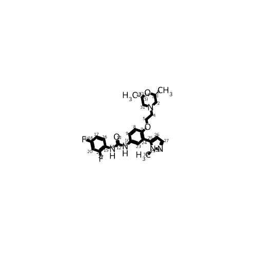 C[C@@H]1CN(CCOc2ccc(NC(=O)Nc3ccc(F)cc3F)cc2-c2ccnn2C)C[C@H](C)O1